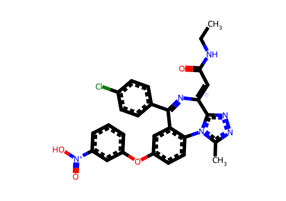 CCNC(=O)/C=C1\N=C(c2ccc(Cl)cc2)c2cc(Oc3cccc([N+](=O)O)c3)ccc2-n2c(C)nnc21